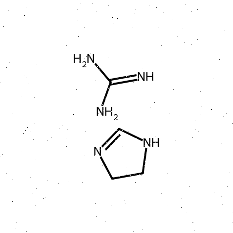 C1=NCCN1.N=C(N)N